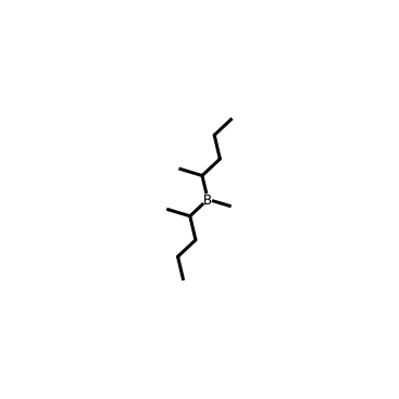 CCCC(C)B(C)C(C)CCC